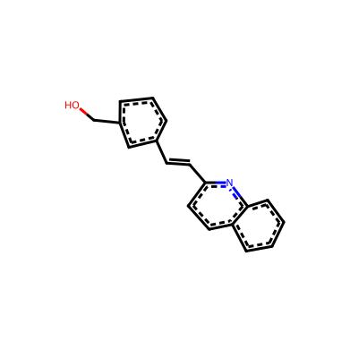 OCc1cccc(/C=C/c2ccc3ccccc3n2)c1